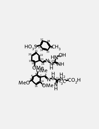 CC(=O)O.COc1cc(OC)c(/C=N/NC(=N)N)c(OC)c1.COc1ccccc1/C=N/NC(=N)NO.Cc1ccc(S(=O)(=O)O)cc1